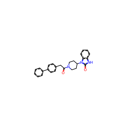 O=C(Cc1ccc(-c2ccccc2)cc1)N1CCC(n2c(=O)[nH]c3ccccc32)CC1